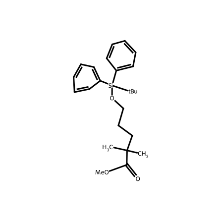 COC(=O)C(C)(C)CCCO[Si](c1ccccc1)(c1ccccc1)C(C)(C)C